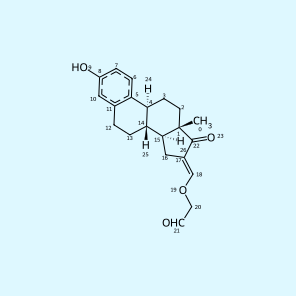 C[C@]12CC[C@@H]3c4ccc(O)cc4CC[C@H]3[C@@H]1CC(=COCC=O)C2=O